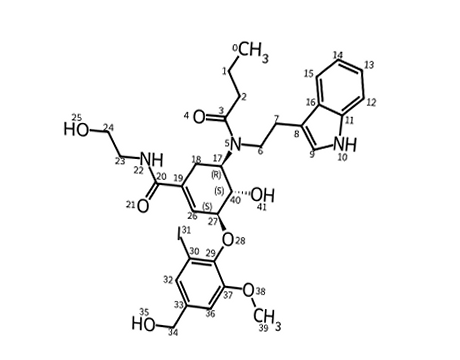 CCCC(=O)N(CCc1c[nH]c2ccccc12)[C@@H]1CC(C(=O)NCCO)=C[C@H](Oc2c(I)cc(CO)cc2OC)[C@H]1O